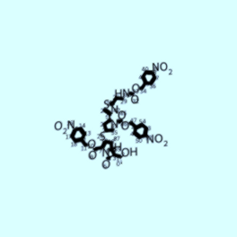 C[C@@H](O)[C@H]1C(=O)N2C(C(=O)OCc3ccc([N+](=O)[O-])cc3)=C(S[C@H]3C[C@@H](c4csc(CCNC(=O)OCc5ccc([N+](=O)[O-])cc5)n4)N(C(=O)OCc4ccc([N+](=O)[O-])cc4)C3)[C@H](C)[C@H]12